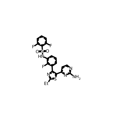 CCc1nc(-c2cccc(NS(=O)(=O)c3c(F)cccc3F)c2F)c(-c2ccnc(N)n2)s1